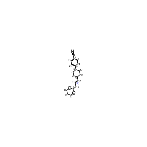 N#Cc1ccc(C2CCC(/C=C/CC3OCCCO3)CC2)cc1